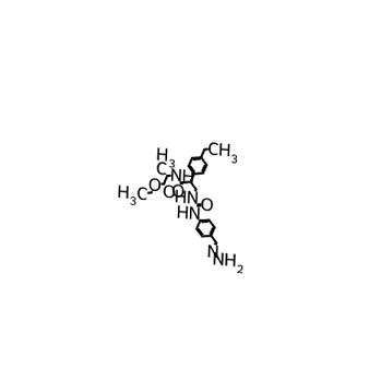 CCOC(=O)C(C)NC(=O)C(CNC(=O)Nc1ccc(C=NN)cc1)c1ccc(CC)cc1